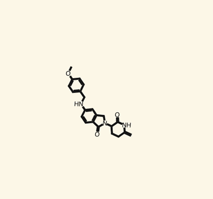 C=C1CCC(N2Cc3cc(NCc4ccc(OC)cc4)ccc3C2=O)C(=O)N1